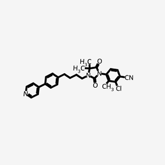 Cc1c(N2C(=O)N(CCCCc3ccc(-c4ccncc4)cc3)C(C)(C)C2=O)ccc(C#N)c1Cl